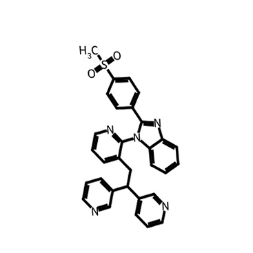 CS(=O)(=O)c1ccc(-c2nc3ccccc3n2-c2ncccc2CC(c2cccnc2)c2cccnc2)cc1